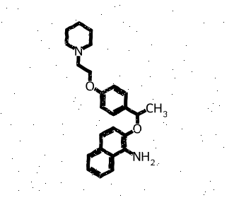 CC(Oc1ccc2ccccc2c1N)c1ccc(OCCN2CCCCC2)cc1